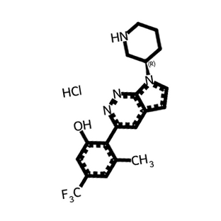 Cc1cc(C(F)(F)F)cc(O)c1-c1cc2ccn([C@@H]3CCCNC3)c2nn1.Cl